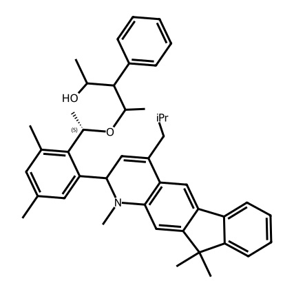 Cc1cc(C)c([C@H](C)OC(C)C(c2ccccc2)C(C)O)c(C2C=C(CC(C)C)c3cc4c(cc3N2C)C(C)(C)c2ccccc2-4)c1